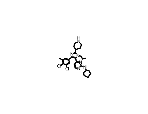 CCCn1c(C2CCNCC2)nc(-c2cc(C)c(Cl)c(Cl)c2)c1-c1ccnc(NC2CCCCC2)n1